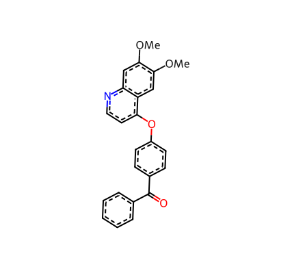 COc1cc2nccc(Oc3ccc(C(=O)c4ccccc4)cc3)c2cc1OC